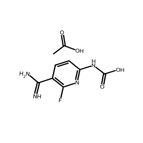 CC(=O)O.N=C(N)c1ccc(NC(=O)O)nc1F